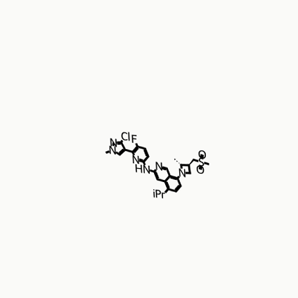 CC(C)c1ccc(N2C[C@H](CS(C)(=O)=O)[C@H]2C)c2cnc(Nc3ccc(F)c(-c4cn(C)nc4Cl)n3)cc12